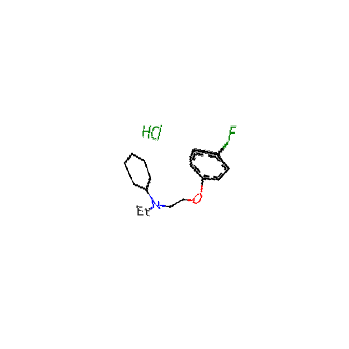 CCN(CCOc1ccc(F)cc1)C1CCCCC1.Cl